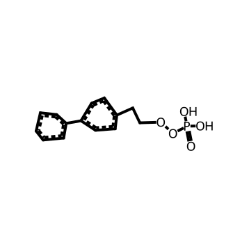 O=P(O)(O)OOCCc1ccc(-c2ccccc2)cc1